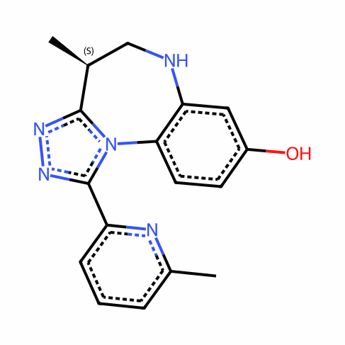 Cc1cccc(-c2nnc3n2-c2ccc(O)cc2NC[C@@H]3C)n1